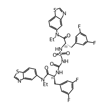 CCN(C(=O)[C@H](Cc1cc(F)cc(F)c1)NC(=O)NS(=O)(=O)N[C@@H](Cc1cc(F)cc(F)c1)C(=O)N(CC)c1ccc2scnc2c1)c1ccc2scnc2c1